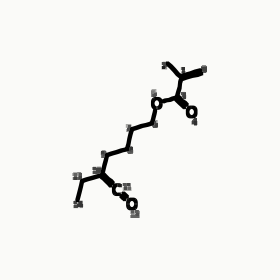 C=C(C)C(=O)OCCCCC(=C=O)CC